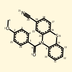 COc1ccc(C(=O)N2c3ccccc3Sc3ccc(C#N)cc32)cc1